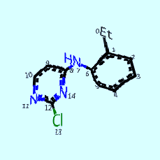 CCc1ccccc1Nc1ccnc(Cl)n1